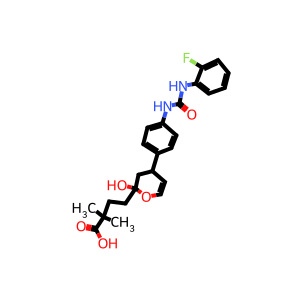 CC(C)(CCC1(O)CC(c2ccc(NC(=O)Nc3ccccc3F)cc2)C=CO1)C(=O)O